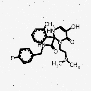 Cc1ccccc1C1(C(=O)NCc2ccc(F)cc2)NC=C(O)C(=O)N1CCN(C)C